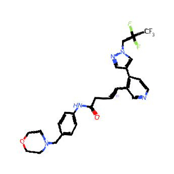 O=C(C/C=C/c1cnccc1-c1cnn(CC(F)(F)C(F)(F)F)c1)Nc1ccc(CN2CCOCC2)cc1